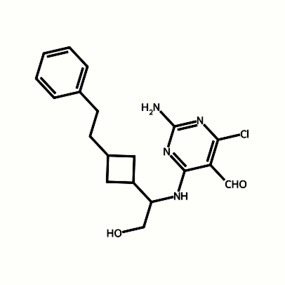 Nc1nc(Cl)c(C=O)c(NC(CO)C2CC(CCc3ccccc3)C2)n1